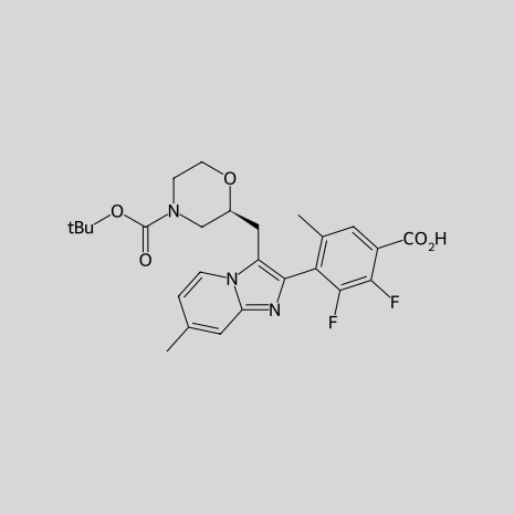 Cc1ccn2c(C[C@H]3CN(C(=O)OC(C)(C)C)CCO3)c(-c3c(C)cc(C(=O)O)c(F)c3F)nc2c1